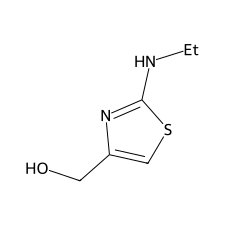 CCNc1nc(CO)cs1